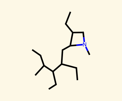 CCC(C)C(CC)C(CC)CC1C(CC)CN1C